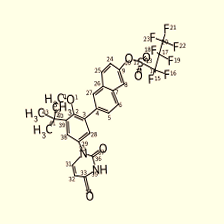 COc1c(-c2ccc3cc(OS(=O)(=O)C(F)(F)C(F)(F)C(F)(F)F)ccc3c2)cc(-n2ccc(=O)[nH]c2=O)cc1C(C)(C)C